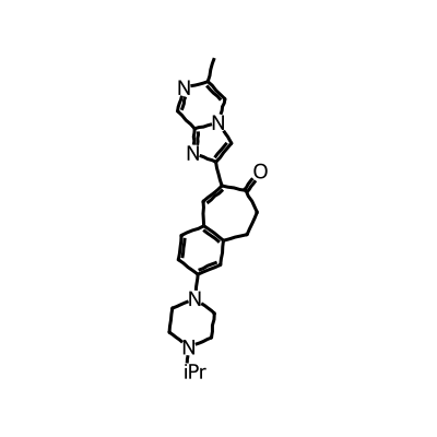 Cc1cn2cc(C3=Cc4ccc(N5CCN(C(C)C)CC5)cc4CCC3=O)nc2cn1